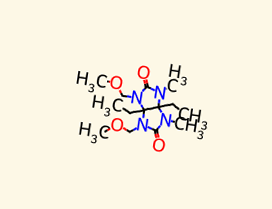 CCC12N(C)C(=O)N(COC)C1(CC)N(COC)C(=O)N2C